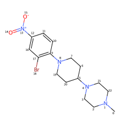 CN1CCN(C2CCN(c3c[c]c([N+](=O)[O-])cc3Br)CC2)CC1